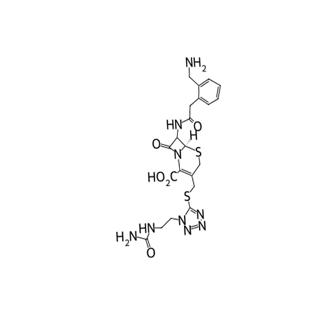 NCc1ccccc1CC(=O)NC1C(=O)N2C(C(=O)O)=C(CSc3nnnn3CCNC(N)=O)CS[C@H]12